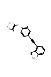 O=C(O)c1nn[nH]c1Oc1ccc(C#Cc2cccc3[nH]ncc23)cc1F